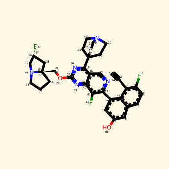 C#Cc1c(F)ccc2cc(O)cc(-c3ncc4c(C56CCN(CC5)CC6)nc(OC[C@@]56CCCN5C[C@H](F)C6)nc4c3F)c12